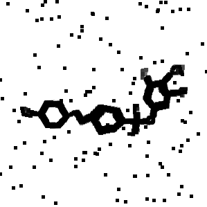 CC[C@H]1CC[C@H](CCc2ccc(C(F)(F)Oc3cc(F)c(C#N)c(F)c3)cc2)CC1